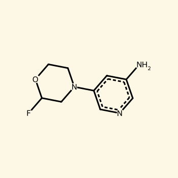 Nc1cncc(N2CCOC(F)C2)c1